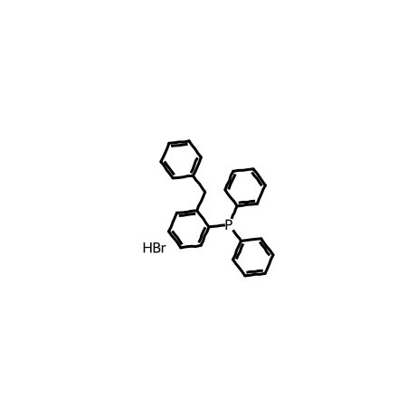 Br.c1ccc(Cc2ccccc2P(c2ccccc2)c2ccccc2)cc1